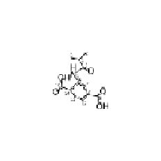 C=C(C)C(=O)Nc1cc(C(=O)O)ccc1C(=O)O